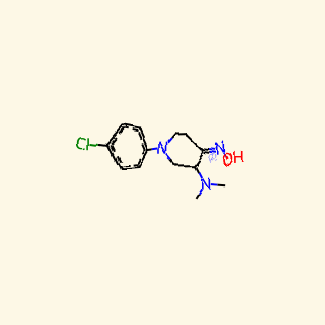 CN(C)C1CN(c2ccc(Cl)cc2)CC/C1=N/O